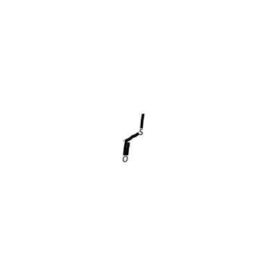 CS[C]=O